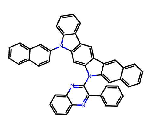 c1ccc(-c2nc3ccccc3nc2-n2c3cc4ccccc4cc3c3cc4c5ccccc5n(-c5ccc6ccccc6c5)c4cc32)cc1